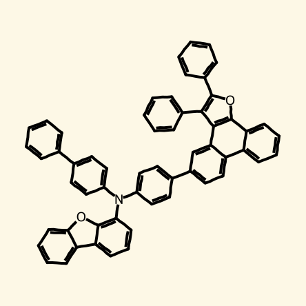 c1ccc(-c2ccc(N(c3ccc(-c4ccc5c6ccccc6c6oc(-c7ccccc7)c(-c7ccccc7)c6c5c4)cc3)c3cccc4c3oc3ccccc34)cc2)cc1